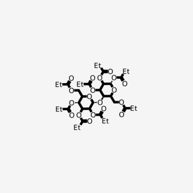 CCC(=O)OCC1O[C@H](O[C@@H]2C(COC(=O)CC)O[C@@H](OC(=O)CC)C(OC(=O)CC)C2OC(=O)CC)C(OC(=O)CC)C(OC(=O)CC)[C@@H]1OC(=O)CC